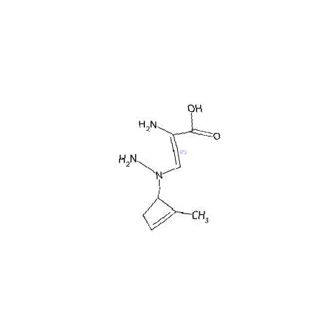 CC1=CCC1N(N)/C=C(\N)C(=O)O